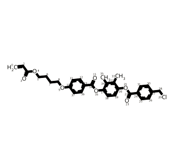 C=CC(=O)OCCCCOc1ccc(C(=O)Oc2ccc(OC(=O)c3ccc(CCl)cc3)c(C)c2C)cc1